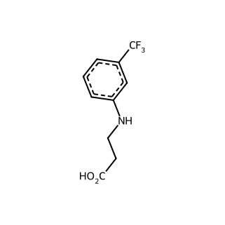 O=C(O)CCNc1cccc(C(F)(F)F)c1